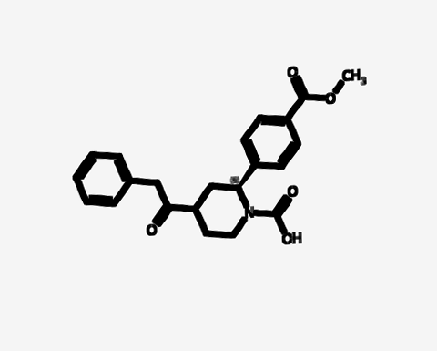 COC(=O)c1ccc([C@@H]2CC(C(=O)Cc3ccccc3)CCN2C(=O)O)cc1